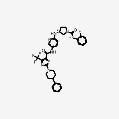 O=C(Nc1ccc(N[C@@H]2CCN(C(=O)Nc3ccccc3F)C2)nc1)c1sc(N2CCC(c3ccccc3)CC2)nc1C(F)(F)F